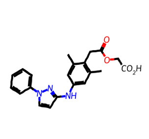 Cc1cc(Nc2ccn(-c3ccccc3)n2)cc(C)c1CC(=O)OCC(=O)O